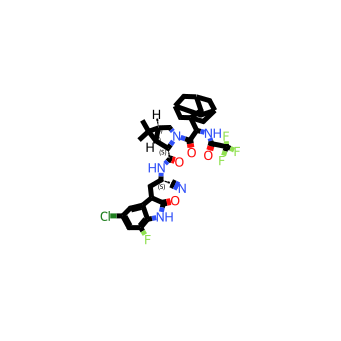 CC1(C)[C@@H]2[C@@H](C(=O)N[C@H](C#N)CC3C(=O)Nc4c(F)cc(Cl)cc43)N(C(=O)C(NC(=O)C(F)(F)F)C34CC5CC(CC(C5)C3)C4)C[C@@H]21